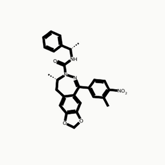 Cc1cc(C2=NN(C(=O)N[C@@H](C)c3ccccc3)[C@@H](C)Cc3cc4c(cc32)OCO4)ccc1[N+](=O)[O-]